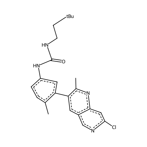 Cc1ccc(NC(=O)NCCC(C)(C)C)cc1-c1cc2cnc(Cl)cc2nc1C